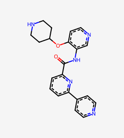 O=C(Nc1cnccc1OC1CCNCC1)c1cccc(-c2ccncc2)n1